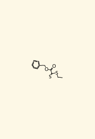 CCSC(=S)C(=O)OCc1ccccc1